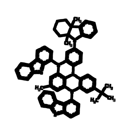 Cc1cc2c3c(c1)N(c1cccc4sc5ccccc5c14)c1cc(C(C)(C)C)ccc1B3c1ccc(N3c4ccccc4C4(C)CCCCC34C)cc1N2c1cccc2c1sc1ccccc12